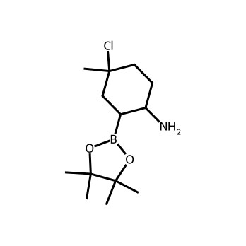 CC1(Cl)CCC(N)C(B2OC(C)(C)C(C)(C)O2)C1